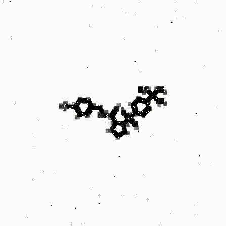 CC(C)(C)c1ccc(S(=O)(=O)N2CCSC2C(=O)NCc2ccc(N)nc2)cc1